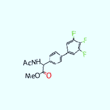 COC(=O)C(NC(C)=O)c1ccc(-c2cc(F)c(F)c(F)c2)cc1